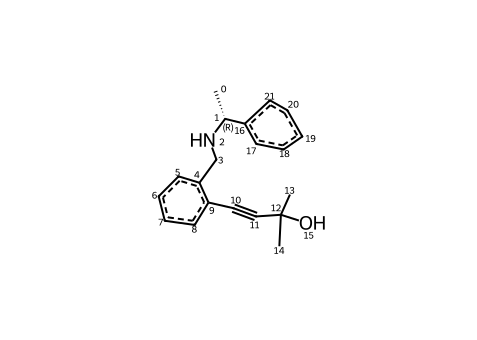 C[C@@H](NCc1ccccc1C#CC(C)(C)O)c1ccccc1